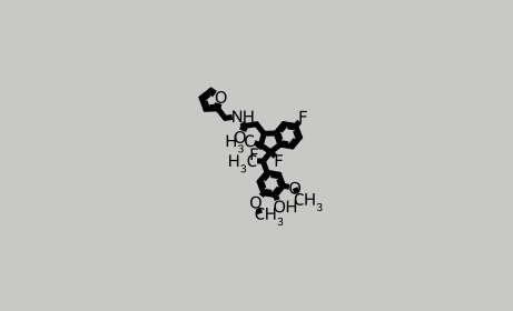 COc1cc(C(C)C2(F)c3ccc(F)cc3C(CC(=O)NCc3ccco3)C2(C)F)cc(OC)c1O